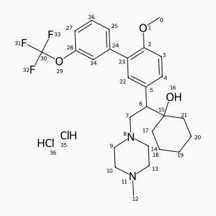 COc1ccc(C(CN2CCN(C)CC2)C2(O)CCCCC2)cc1-c1cccc(OC(F)(F)F)c1.Cl.Cl